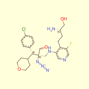 [N-]=[N+]=N[C@@](C=O)(CNc1cncc(F)c1CC[C@H](N)CO)[C@@H](c1ccc(Cl)cc1)C1CCOCC1